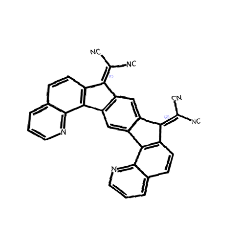 [C-]#[N+]/C(C#N)=C1/c2cc3c(cc2-c2c1ccc1cccnc21)-c1c(ccc2cccnc12)/C3=C(\C#N)[N+]#[C-]